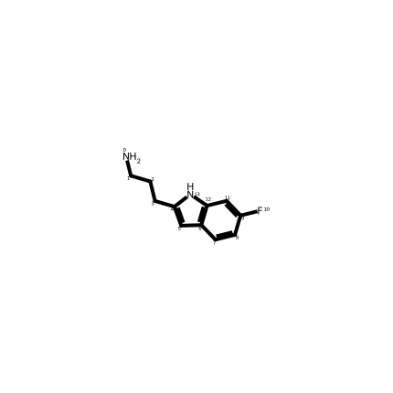 NCCCc1cc2ccc(F)cc2[nH]1